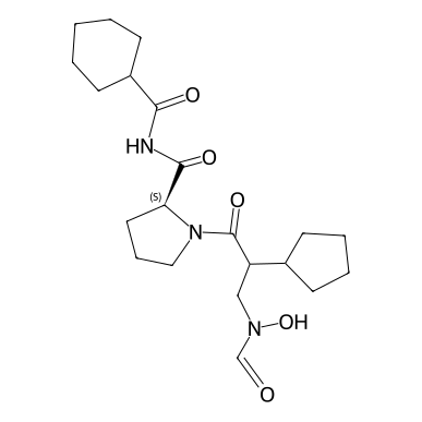 O=CN(O)CC(C(=O)N1CCC[C@H]1C(=O)NC(=O)C1CCCCC1)C1CCCC1